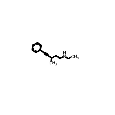 CCNCCC(C)C#Cc1ccccc1